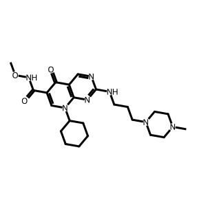 CONC(=O)c1cn(C2CCCCC2)c2nc(NCCCN3CCN(C)CC3)ncc2c1=O